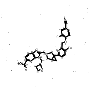 N#Cc1ccc(OCc2nc(C34CC3CN(Cc3nc5ccc(C(=O)O)cc5n3C[C@@H]3CCO3)C4)ccc2F)c(Cl)c1